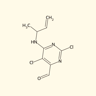 C=CC(C)Nc1nc(Cl)nc(C=O)c1Cl